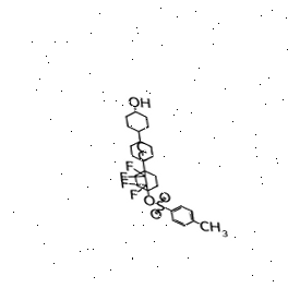 Cc1ccc(S(=O)(=O)OC23CCC(C45CCC(C6CCC(O)CC6)(CC4)CC5)(CC2)C(F)(F)C3(F)F)cc1